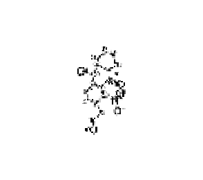 O=CCc1ccc2c(c1[N+](=O)[O-])C(=O)c1ccccc1C2=O